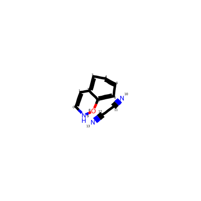 C1=Cc2ccccc2ON1.N#CC#N